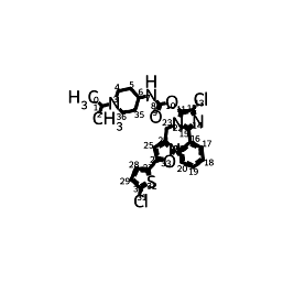 CC(C)N1CCC(NC(=O)Oc2c(Cl)nc(-c3ccccc3)n2Cc2cc(-c3ccc(Cl)s3)on2)CC1